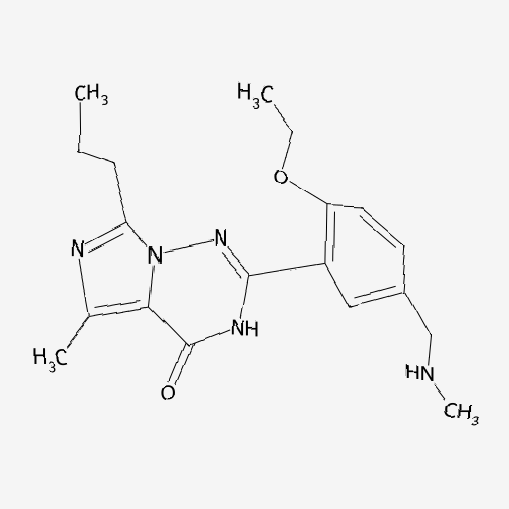 CCCc1nc(C)c2c(=O)[nH]c(-c3cc(CNC)ccc3OCC)nn12